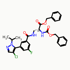 CC(C)n1ncc(Cl)c1-c1cc(F)cc(C(=O)NC[C@@H](NC(=O)OCc2ccccc2)C(=O)OCc2ccccc2)c1